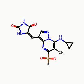 CS(=O)(=O)c1nc2c(C=C3NC(=O)NC3=O)cnn2c(NC2CC2)c1C#N